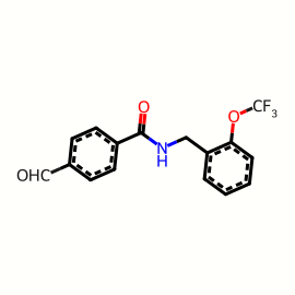 O=Cc1ccc(C(=O)NCc2ccccc2OC(F)(F)F)cc1